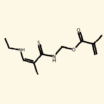 C=C(C)C(=O)OCNC(=S)/C(C)=C\NCC